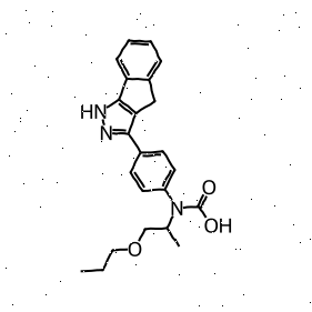 CCCOCC(C)N(C(=O)O)c1ccc(-c2n[nH]c3c2Cc2ccccc2-3)cc1